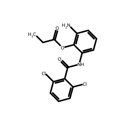 CCC(=O)Oc1c(N)cccc1NC(=O)c1c(Cl)cccc1Cl